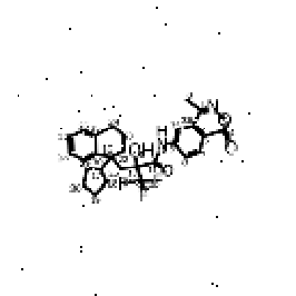 Cc1noc(=O)c2ccc(NC(=O)C(O)(CC3(C4CCCC4)CCCc4ccccc43)C(F)(F)F)cc12